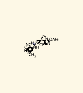 COc1ncc(Cl)c(N(C(C)C)C2CN(/C(=N/C#N)Nc3cc(C)cc(C)c3)C2)n1